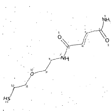 NC(=O)C=CC(=O)NCCOCCS